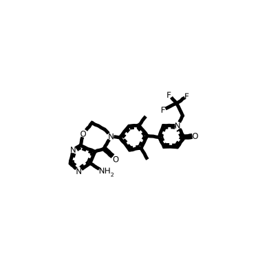 Cc1cc(N2CCOc3ncnc(N)c3C2=O)cc(C)c1-c1ccc(=O)n(CC(F)(F)F)c1